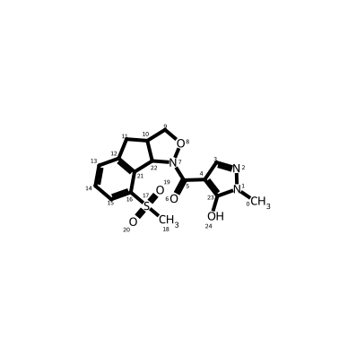 Cn1ncc(C(=O)N2OCC3Cc4cccc(S(C)(=O)=O)c4C32)c1O